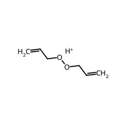 C=CCOOCC=C.[H+]